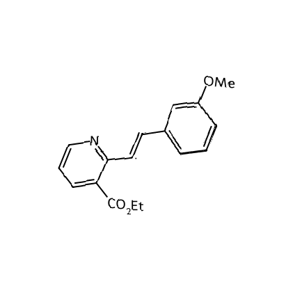 CCOC(=O)c1cccnc1[C]=Cc1cccc(OC)c1